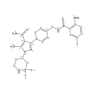 COc1ccc(F)cc1C(=O)NCC1=CCC(c2nn(C3CCNC(F)(F)C3)c(N)c2C(N)=O)C=C1